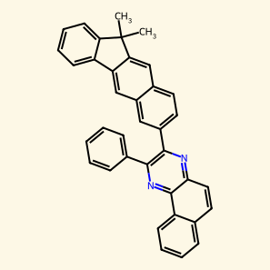 CC1(C)c2ccccc2-c2cc3cc(-c4nc5ccc6ccccc6c5nc4-c4ccccc4)ccc3cc21